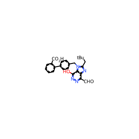 CC(C)(C)Cc1nc2c(C=O)nnc(O)c2n1Cc1ccc(-c2ccccc2C(=O)O)cc1